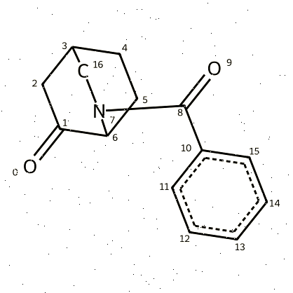 O=C1CC2CCC1N(C(=O)c1ccccc1)C2